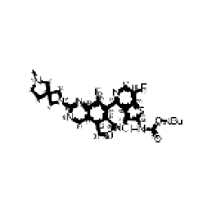 CN1CCC2(C1)CN(c1ncc3c4c(c(-c5ncc(F)c6sc(NC(=O)OC(C)(C)C)c(C#N)c56)c(F)c3n1)COC4)C2